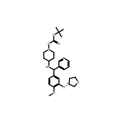 COc1ccc(C(NC2CCN(OC(=O)OC(C)(C)C)CC2)c2cccnc2)cc1O[C@@H]1CCOC1